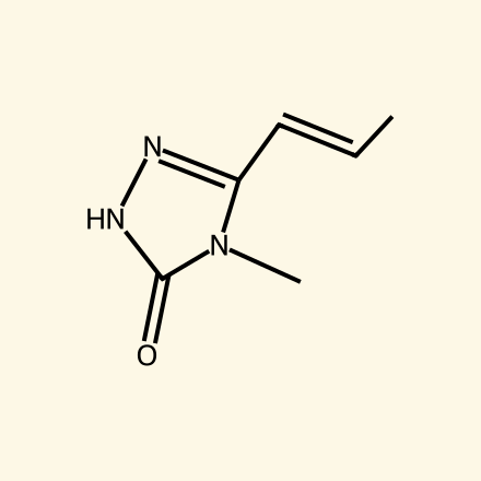 CC=Cc1n[nH]c(=O)n1C